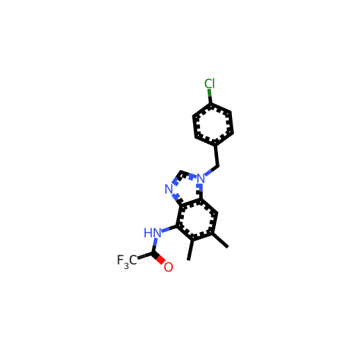 Cc1cc2c(ncn2Cc2ccc(Cl)cc2)c(NC(=O)C(F)(F)F)c1C